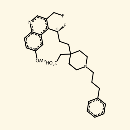 COc1ccc2ncc(CF)c([C@@H](F)CCC3(CC(=O)O)CCN(CCCc4ccccc4)CC3)c2c1